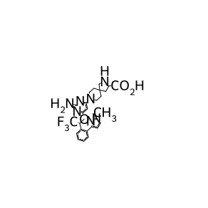 Cn1ccc(-c2ccccc2[C@@H](Oc2cc(N3CCC4(CC3)CNC(C(=O)O)C4)nc(N)n2)C(F)(F)F)n1